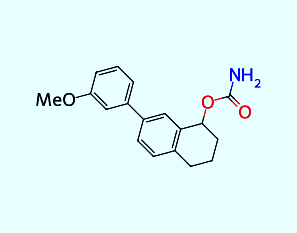 COc1cccc(-c2ccc3c(c2)C(OC(N)=O)CCC3)c1